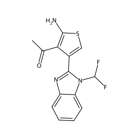 CC(=O)c1c(-c2nc3ccccc3n2C(F)F)csc1N